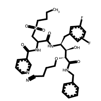 CCCCS(=O)(=O)CC(NC(=O)c1cccnc1)C(=O)N[C@@H](Cc1cc(F)cc(F)c1)[C@@H](O)[C@@H](OCCCC#N)C(=O)NCc1ccccc1